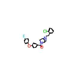 O=C(c1ccc(Oc2ccc(F)cc2)cc1)N1CC2CC1CN2CCc1ccccc1Cl